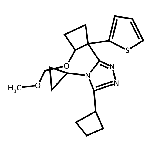 COCOC1CCC1(c1cccs1)c1nnc(C2CCC2)n1C1CC1